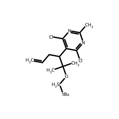 C=CCC(c1c(Cl)nc(C)nc1Cl)C(C)(C)O[SiH2]C(C)(C)C